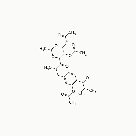 CC(=O)OC[C@H](OC(C)=O)[C@H](OC(C)=O)C(=O)C(C)Cc1ccc(C(=O)C(C)C)c(OC(C)=O)c1